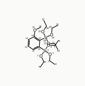 CCO[Si](OCC)(OCC)c1cccc(OC)c1[Si](OCC)(OCC)OCC